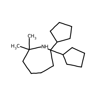 CC1(C)CCCCC(C2CCCC2)(C2CCCC2)N1